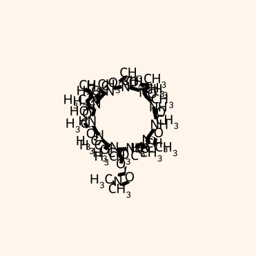 C/C=C/C[C@@H](C)[C@@H](O)C1C(=O)N[C@@H](CC)C(=O)N(C)[C@H](C)C(=O)N(C)[C@@H]([C@H](C)COC[C@@H]2CN(C(C)C)CCO2)C(=O)N[C@@H](C(C)C)C(=O)N(C)[C@@H](CC(C)C)C(=O)N[C@@H](C)C(=O)N[C@H](C)C(=O)N(C)[C@@H](CC(C)C)C(=O)N(C)[C@@H](CC(C)C)C(=O)N(C)C(C(C)C)C(=O)N1C